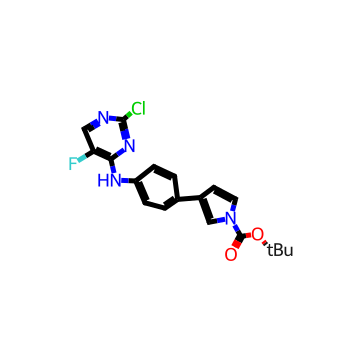 CC(C)(C)OC(=O)n1ccc(-c2ccc(Nc3nc(Cl)ncc3F)cc2)c1